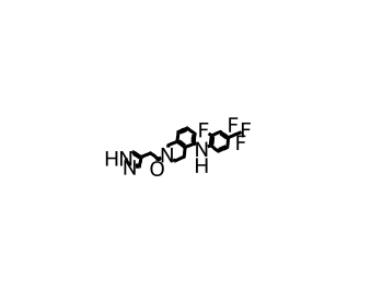 O=C(Cc1cn[nH]c1)N1CCc2c(cccc2Nc2ccc(C(F)(F)F)cc2F)C1